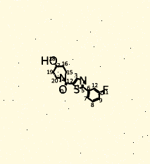 O=C(c1cnc(-c2cccc(F)c2)s1)N1CCC(O)CC1